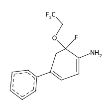 NC1=CC=C(c2ccccc2)CC1(F)OCC(F)(F)F